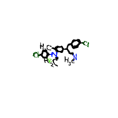 C=CN(c1cc(/C(=C/C=N\C)Cc2ccc(Cl)cc2)ccc1C)c1ccc(Cl)cc1F